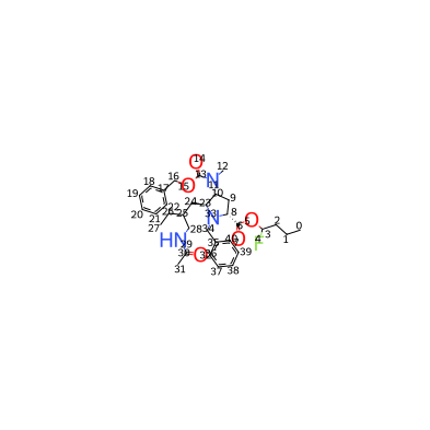 CCCC(F)OC(=O)[C@H]1C[C@@H](N(C)C(=O)OCc2ccccc2)[C@H](CC(CC)CNC(C)=O)N1Cc1ccccc1